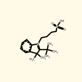 CC(C)(C)C1=[N+](CCCCS(=O)(=O)O)c2ccccc2C1(C)C